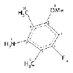 COc1cc(F)c(C)c(N)c1C